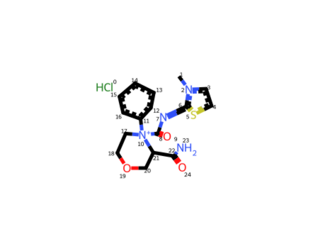 Cl.Cn1ccsc1=NC(=O)[N+]1(c2ccccc2)CCOCC1C(N)=O